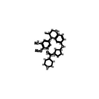 COc1ncc(N2c3cc(OC4CCN(C(=O)C5CCOCC5)C4)ccc3OCC2C)cc1C#N